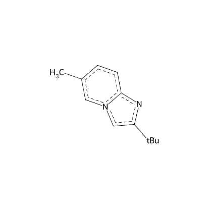 Cc1ccc2nc(C(C)(C)C)cn2c1